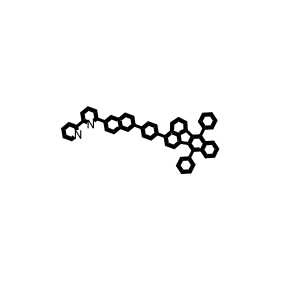 c1ccc(-c2c3c(c(-c4ccccc4)c4ccccc24)-c2ccc(-c4ccc(-c5ccc6cc(-c7cccc(-c8ccccn8)n7)ccc6c5)cc4)c4cccc-3c24)cc1